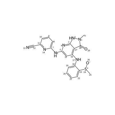 Cn1[nH]c2nc(Nc3cccc(C#N)n3)cc(Nc3ccccc3[S+](C)[O-])c2c1=O